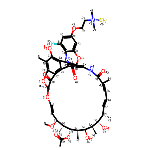 CO[C@H]1/C=C/O[C@@]2(C)Oc3c(C)c(O)c4c(=O)c(c5oc6cc(OCC[N+](C)(C)S)cc(F)c6nc-5c4c3C2=O)NC(=O)/C(C)=C\C=C\[C@H](C)[C@H](O)[C@@H](C)[C@@H](O)[C@@H](C)[C@H](OC(C)=O)[C@@H]1C